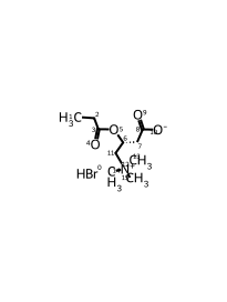 Br.CCC(=O)O[C@H](CC(=O)[O-])C[N+](C)(C)C